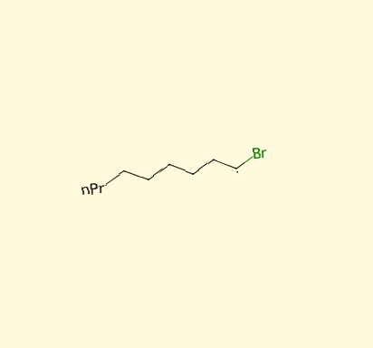 [CH2]CCCCCCC[CH]Br